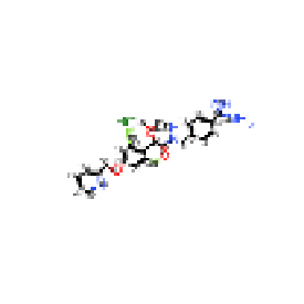 CCO[C@H](C(=O)NCc1ccc(C(=N)N)cc1)c1c(F)cc(OCc2ccccn2)cc1F.Cl